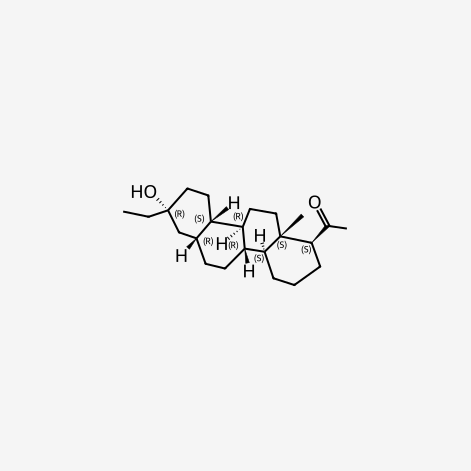 CC[C@@]1(O)CC[C@H]2[C@H](CC[C@@H]3[C@@H]2CC[C@]2(C)[C@@H](C(C)=O)CCC[C@@H]32)C1